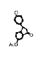 CC(=O)Oc1ccc2c(c1)C(=O)CC2c1ccc(Cl)cc1